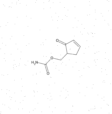 NC(=O)OCC1CC=CC1=O